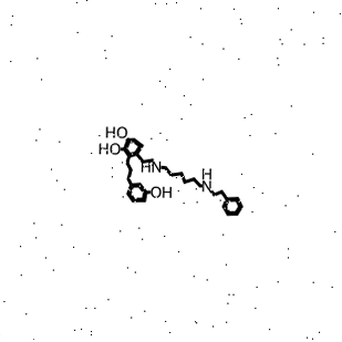 Oc1cccc(CCCc2c(CCNCCCCCCNCCc3ccccc3)ccc(O)c2O)c1